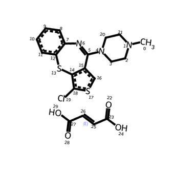 CN1CCN(C2=Nc3ccccc3Sc3c2csc3Cl)CC1.O=C(O)/C=C/C(=O)O